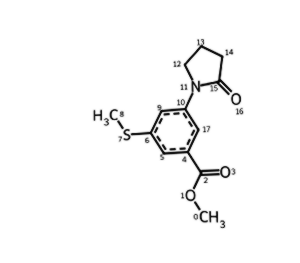 COC(=O)c1cc(SC)cc(N2CCCC2=O)c1